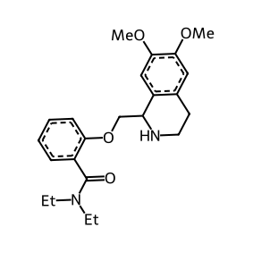 CCN(CC)C(=O)c1ccccc1OCC1NCCc2cc(OC)c(OC)cc21